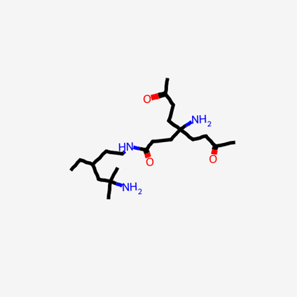 CCC(CCNC(=O)CCC(N)(CCC(C)=O)CCC(C)=O)CC(C)(C)N